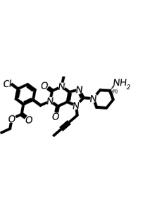 CC#CCn1c(N2CCC[C@@H](N)C2)nc2c1c(=O)n(Cc1ccc(Cl)cc1C(=O)OCC)c(=O)n2C